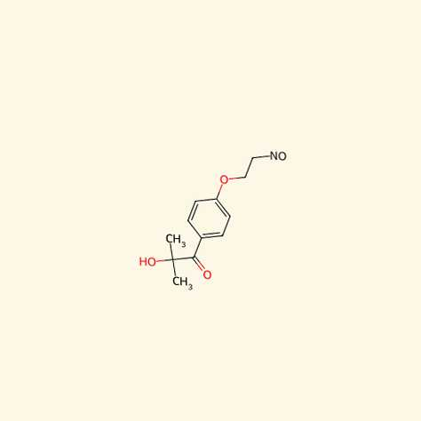 CC(C)(O)C(=O)c1ccc(OCCN=O)cc1